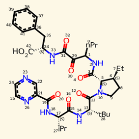 CCCC(NC(=O)[C@@H]1[C@@H](CC)CCN1C(=O)[C@@H](NC(=O)[C@@H](NC(=O)c1cnccn1)C(C)C)C(C)(C)C)C(=O)C(=O)N[C@@H](Cc1ccccc1)C(=O)O